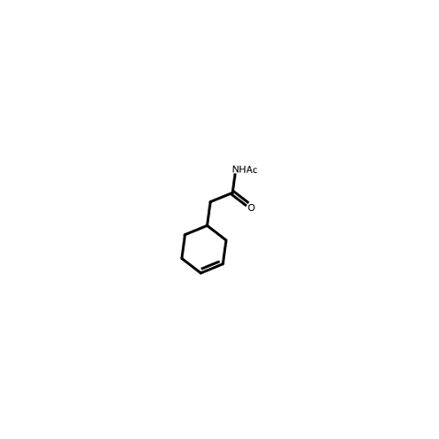 CC(=O)NC(=O)CC1CC=CCC1